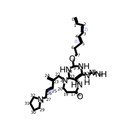 C=C/C=C\C=C\CCOC1NC(NN=N)=C2NC(=O)CCN(CC(=C)/C=C/CN3CCCC3)C2N1